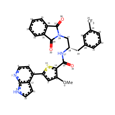 COc1cc(-c2ccnc3[nH]ccc23)sc1C(=O)N[C@@H](Cc1cccc(C(F)(F)F)c1)CN1C(=O)c2ccccc2C1=O